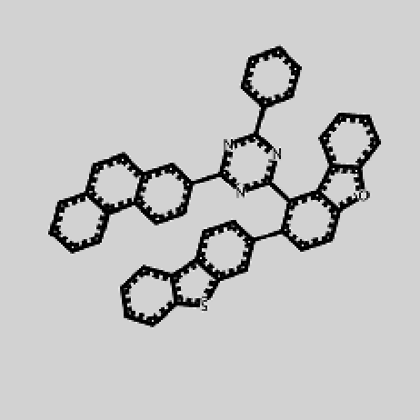 c1ccc(-c2nc(-c3ccc4c(ccc5ccccc54)c3)nc(-c3c(-c4ccc5c(c4)sc4ccccc45)ccc4oc5ccccc5c34)n2)cc1